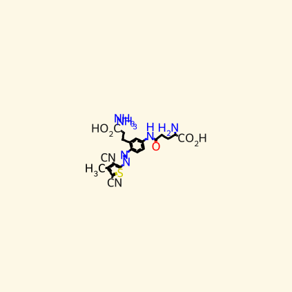 Cc1c(C#N)sc(/N=N/c2ccc(NC(=O)CCC(N)C(=O)O)cc2CCC(=O)O)c1C#N.N.N